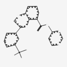 O=C(Nc1ccncn1)c1cccc2ncc(-c3cccc(C(F)(F)F)c3)nc12